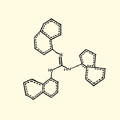 c1ccc2c(N=C(Nc3cccc4ccccc34)Nc3cccc4ccccc34)cccc2c1